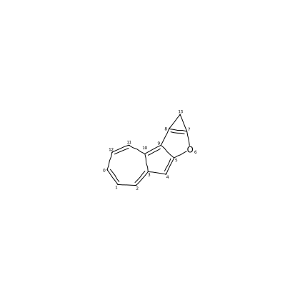 c1ccc2cc3oc4c(c3c-2cc1)C4